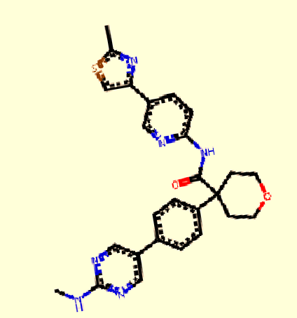 CNc1ncc(-c2ccc(C3(C(=O)Nc4ccc(-c5csc(C)n5)cn4)CCOCC3)cc2)cn1